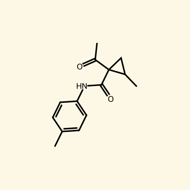 CC(=O)C1(C(=O)Nc2ccc(C)cc2)CC1C